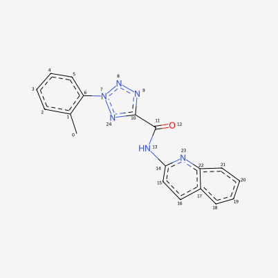 Cc1ccccc1-n1nnc(C(=O)Nc2ccc3ccccc3n2)n1